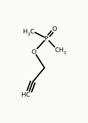 C#CCOP(C)(C)=O